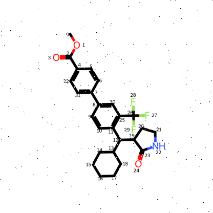 COC(=O)c1ccc(-c2ccc(C(C3CCCCC3)C3CCNC3=O)c(C(F)(F)F)c2)cc1